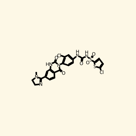 CN1CCN=C1c1ccc2c(=O)n(-c3ccc(NC(=O)NS(=O)(=O)c4ccc(Cl)s4)cc3Cl)c(=O)[nH]c2c1